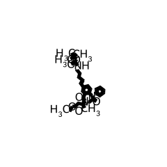 CCOC(=O)CC(C)N1CC(=O)N(c2ccccc2)c2ccc(C=CCCCNC(=O)OC(C)(C)C)cc2C1=O